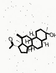 C=C1C[C@H]2[C@@H](CC[C@@H]3C[C@](C)(O)CC[C@@H]32)[C@@H]2CC[C@H](C(C)=O)[C@@]12C